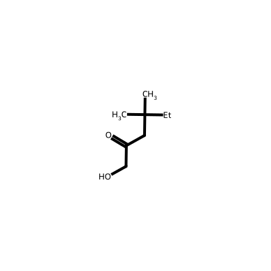 CCC(C)(C)CC(=O)CO